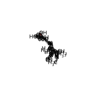 CCCCCCn1cc(COCC(CC)(COCC(CC)(COCc2cn(CCOCCOC)nn2)COCC(CC)(COCc2cn(CCCCCC(=O)NCC(=O)Nc3ccc4c(c3)C(=O)OC43c4ccc(O)cc4Oc4cc(O)ccc43)nn2)COC(C)C)CC(C)C)nn1